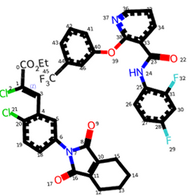 CCOC(=O)/C(Cl)=C/c1cc(N2C(=O)C3=C(CCCC3)C2=O)ccc1Cl.O=C(Nc1ccc(F)cc1F)c1cccnc1Oc1cccc(C(F)(F)F)c1